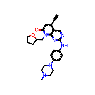 C#Cc1cc(=O)n(CC2CCCO2)c2nc(Nc3ccc(N4CCN(C)CC4)cc3)ncc12